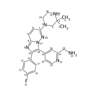 CC1(C)CN(c2ccc3nc(-c4ccc(F)cc4)c(-c4ccnc(CN)c4)n3n2)CCN1